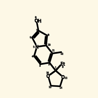 CCC1(c2ccn3cc(O)cc3c2C)OCCO1